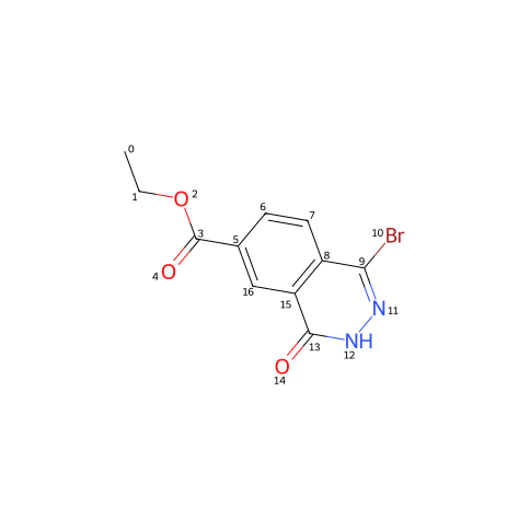 CCOC(=O)c1ccc2c(Br)n[nH]c(=O)c2c1